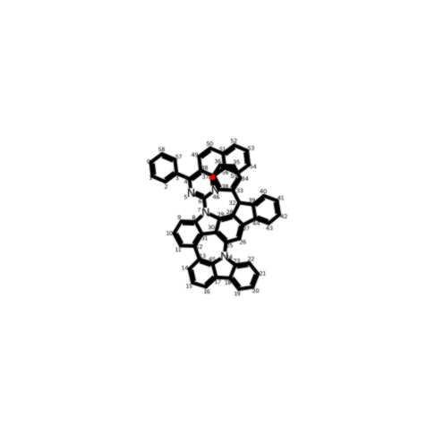 c1ccc(-c2nc(-n3c4cccc5c6cccc7c8ccccc8n(c8cc9c(c3c8c54)C(c3ccccc3)c3ccccc3-9)c67)nc3c2ccc2ccccc23)cc1